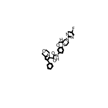 O=C(Nc1ccc2c(c1)OC[C@H]1CN(c3ncc(F)cn3)CCN21)C(=O)c1c(-c2ccccc2)cc2n1CCOC2